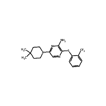 CC1(C)CCN(c2cnc(Sc3ccccc3C(F)(F)F)c(N)n2)CC1